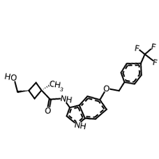 C[C@]1(C(=O)Nc2c[nH]c3ccc(OCc4ccc(C(F)(F)F)cc4)cc23)C[C@@H](CO)C1